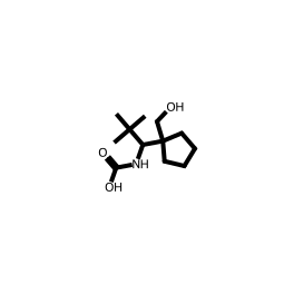 CC(C)(C)C(NC(=O)O)C1(CO)CCCC1